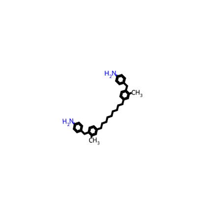 Cc1cc(CCCCCCCCCc2ccc(Cc3ccc(N)cc3)c(C)c2)ccc1Cc1ccc(N)cc1